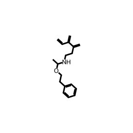 C=CC(=C)C(=C)CCNC(C)OCCc1ccccc1